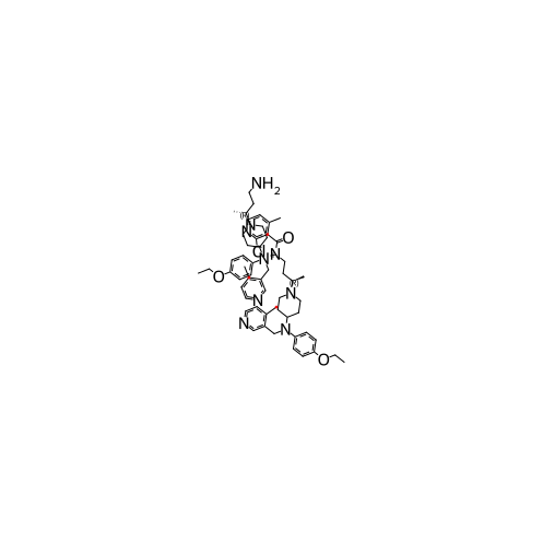 CCOc1ccc(N(Cc2cnccc2C)C2CCN([C@H](C)CCN(C(=O)c3c(C)ccnc3Cl)[N+](Cc3cnccc3C)(c3ccc(OCC)cc3)C3CCN([C@H](C)CCN)CC3)CC2)cc1